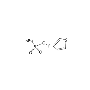 CCCCS(=O)(=O)OF.c1ccsc1